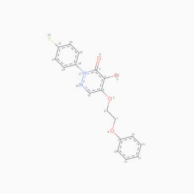 O=c1c(Br)c(OCCOc2ccccc2)cnn1-c1ccc(F)cc1